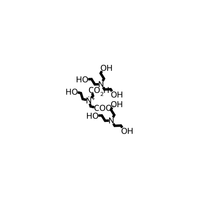 O=C([O-])C[N+](CCO)CC(=O)O.OCCN(CCO)CCO.OCCN(CCO)CCO